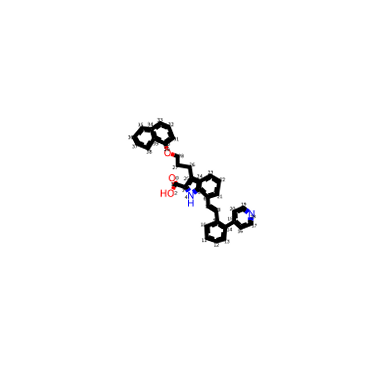 O=C(O)c1[nH]c2c(/C=C/c3ccccc3-c3ccncc3)cccc2c1CCCOc1cccc2ccccc12